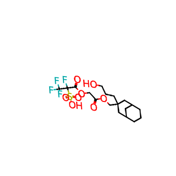 O=C(COC(=O)C(F)(C(F)(F)F)S(=O)(=O)O)OCC1(CCCO)CC2CCCC(C2)C1